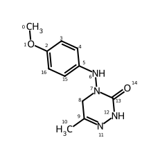 COc1ccc(NN2CC(C)=NNC2=O)cc1